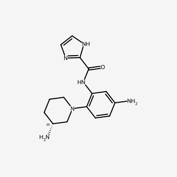 Nc1ccc(N2CCC[C@@H](N)C2)c(NC(=O)c2ncc[nH]2)c1